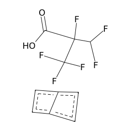 O=C(O)C(F)(C(F)F)C(F)(F)F.c1cc2ccc1-2